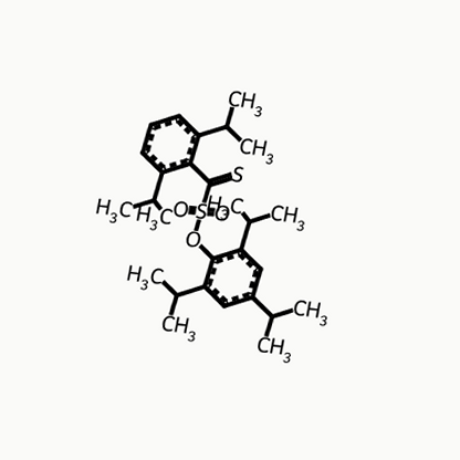 CC(C)c1cc(C(C)C)c(OS(=O)(=O)C(=S)c2c(C(C)C)cccc2C(C)C)c(C(C)C)c1